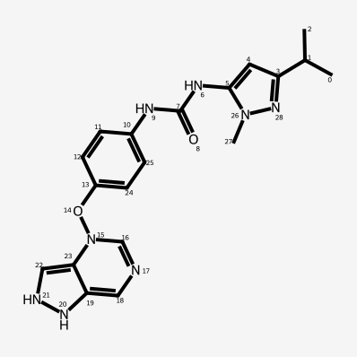 CC(C)c1cc(NC(=O)Nc2ccc(ON3C=NC=C4NNC=C43)cc2)n(C)n1